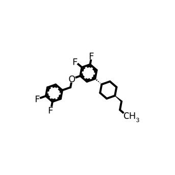 CCC[C@H]1CC[C@H](c2cc(F)c(F)c(OCc3ccc(F)c(F)c3)c2)CC1